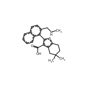 CNCc1ccc2ccccc2c1-c1sc2c(c1C(=O)O)CC(C)(C)CC2